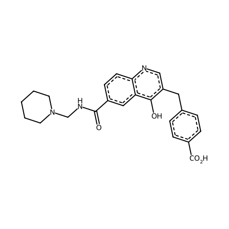 O=C(O)c1ccc(Cc2cnc3ccc(C(=O)NCN4CCCCC4)cc3c2O)cc1